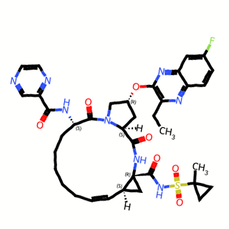 CCc1nc2ccc(F)cc2nc1O[C@@H]1C[C@H]2C(=O)N[C@]3(C(=O)NS(=O)(=O)C4(C)CC4)C[C@H]3C=CCCCCC[C@H](NC(=O)c3cnccn3)C(=O)N2C1